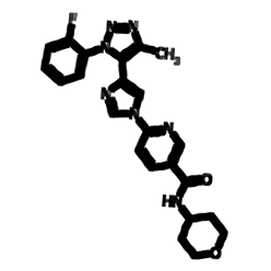 Cc1nnn(-c2ccccc2F)c1-c1cn(-c2ccc(C(=O)NC3CCOCC3)cn2)cn1